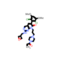 C=CC(=O)N1CCN(CCCn2c(=O)c(-c3c(Cl)c(OC)cc(OC)c3Cl)cc3cnc(NCC4COC4)nc32)CC1